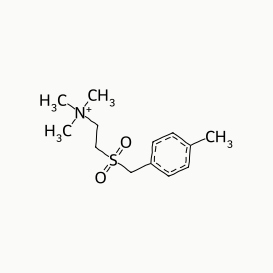 Cc1ccc(CS(=O)(=O)CC[N+](C)(C)C)cc1